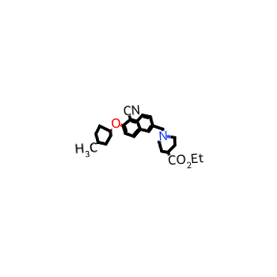 CCOC(=O)C1CCN(Cc2ccc3c(C#N)c(O[C@H]4CC[C@@H](C)CC4)ccc3c2)CC1